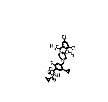 CC1CN(Cc2cc(F)c(C(=O)NS(=O)(=O)C3CC3)cc2C2CC2)CCN1[C@@H](C)c1cc(Cl)cc(Cl)c1